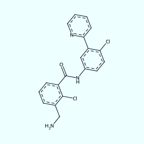 NCc1cccc(C(=O)Nc2ccc(Cl)c(-c3ccccn3)c2)c1Cl